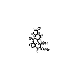 COC1C(=O)c2coc3c2C(C)(c2ccc4c(c2C3=O)CCC4=O)C1O